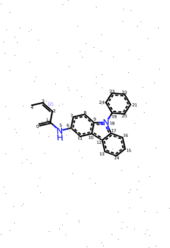 C=C(/C=C\C)Nc1ccc2c(c1)c1ccccc1n2-c1ccccc1